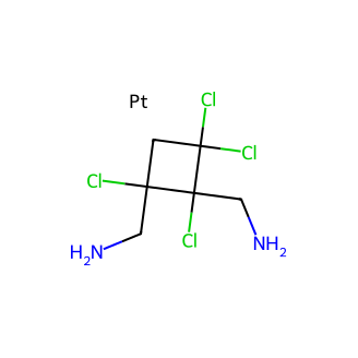 NCC1(Cl)CC(Cl)(Cl)C1(Cl)CN.[Pt]